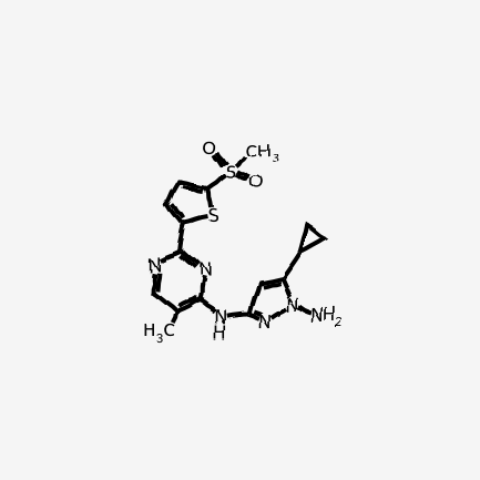 Cc1cnc(-c2ccc(S(C)(=O)=O)s2)nc1Nc1cc(C2CC2)n(N)n1